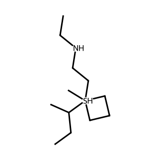 CCNCC[SH]1(C)(C(C)CC)CCC1